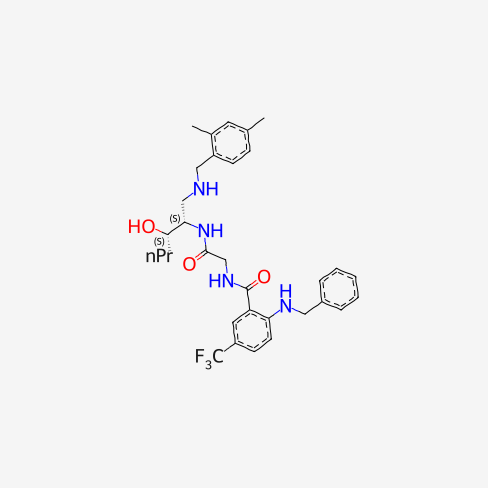 CCC[C@H](O)[C@H](CNCc1ccc(C)cc1C)NC(=O)CNC(=O)c1cc(C(F)(F)F)ccc1NCc1ccccc1